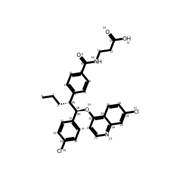 CCC[C@H](c1ccc(C(=O)NCCC(=O)O)cc1)[C@@H](Oc1ccnc2cc(Cl)ccc12)c1ccc(Cl)cc1